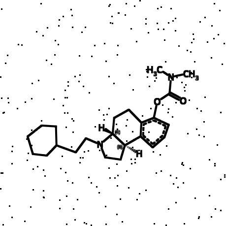 CN(C)C(=O)Oc1cccc2c1CC[C@@H]1[C@@H]2CCN1CCC1CCCCC1